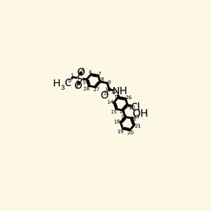 CCS(=O)(=O)c1ccc(CC(=O)Nc2ccc(-c3ccccc3O)c(Cl)c2)cc1